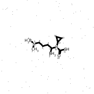 BC(CCCN(B)C)N(C(=O)S)C1CC1